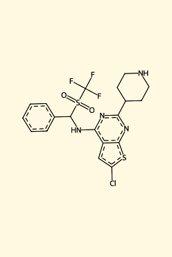 O=S(=O)(C(Nc1nc(C2CCNCC2)nc2sc(Cl)cc12)c1ccccc1)C(F)(F)F